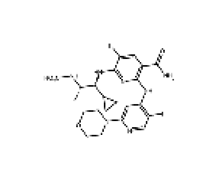 C[C@H](NC(=O)O)[C@@H](Nc1nc(Nc2cc(N3CCOCC3)ncc2F)c(C(N)=O)cc1F)C1CC1